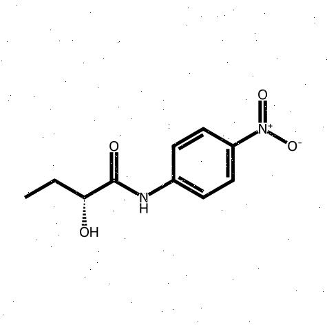 CC[C@@H](O)C(=O)Nc1ccc([N+](=O)[O-])cc1